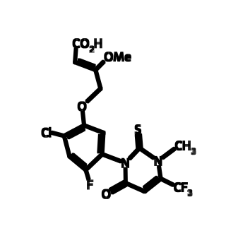 COC(=CC(=O)O)COc1cc(-n2c(=O)cc(C(F)(F)F)n(C)c2=S)c(F)cc1Cl